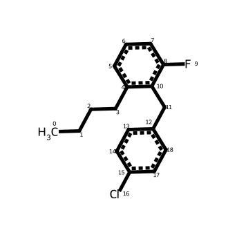 CCCCc1[c]ccc(F)c1Cc1ccc(Cl)cc1